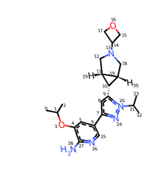 CC(C)Oc1cc(-c2cc([C@@H]3[C@@H]4CN(C5COC5)C[C@@H]43)n(C(C)C)n2)cnc1N